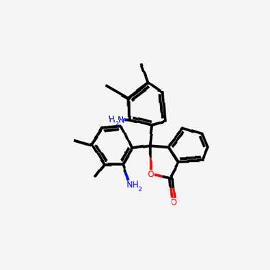 Cc1ccc(C2(c3ccc(C)c(C)c3N)OC(=O)c3ccccc32)c(N)c1C